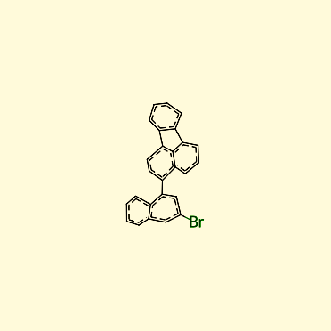 Brc1cc(-c2ccc3c4c(cccc24)-c2ccccc2-3)c2ccccc2c1